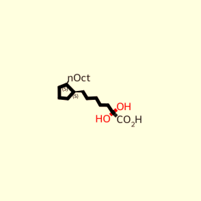 CCCCCCCC[C@H]1CCC[C@@H]1CCCCCC(O)(O)C(=O)O